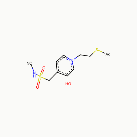 CC(=O)SCC[n+]1ccc(CS(=O)(=O)NC#N)cc1.[OH-]